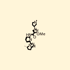 COc1nn([C@H]2CCN(C)C2)cc1C(=O)Nc1cccc(-c2nnc3n2[C@@H](C)CC3)n1